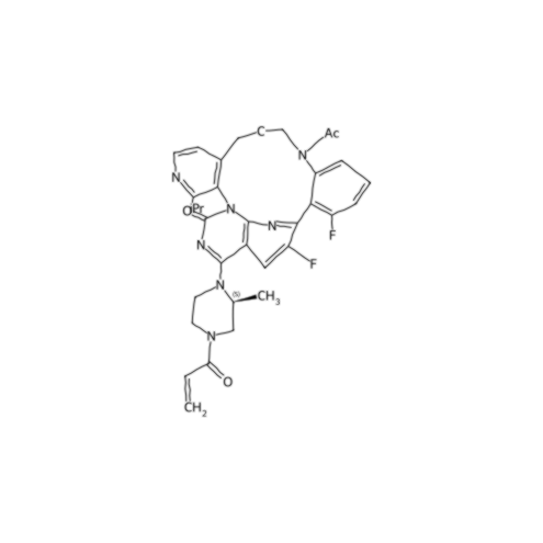 C=CC(=O)N1CCN(c2nc(=O)n3c4nc(c(F)cc24)-c2c(F)cccc2N(C(C)=O)CCCc2ccnc(C(C)C)c2-3)[C@@H](C)C1